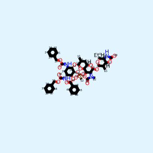 CCC1O[C@H](OC2O[C@H]3CC(C)[C@@H](O[C@@H]4C(NC(=O)OCc5ccccc5)C[C@@H](NC(=O)OCc5ccccc5)C(OC(=O)c5ccccc5)[C@H]4OS(C)(=O)=O)OC3C3OC(=O)N(C)C23)C(C)[C@H]2OC(=O)N[C@H]12